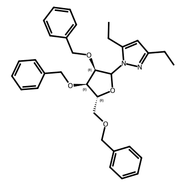 CCc1cc(CC)n(C2O[C@H](COCc3ccccc3)[C@@H](OCc3ccccc3)[C@H]2OCc2ccccc2)n1